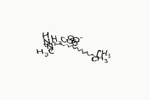 CCOS(=O)(=O)[O-].CC[N+]1=C(CCCCCCCCCCCCCCCC(C)C)NCC1